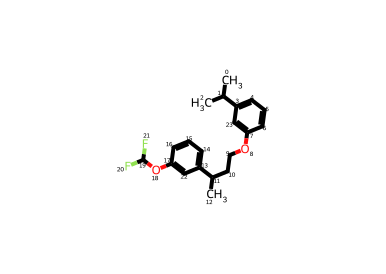 CC(C)c1cccc(OCCC(C)c2cccc(OC(F)F)c2)c1